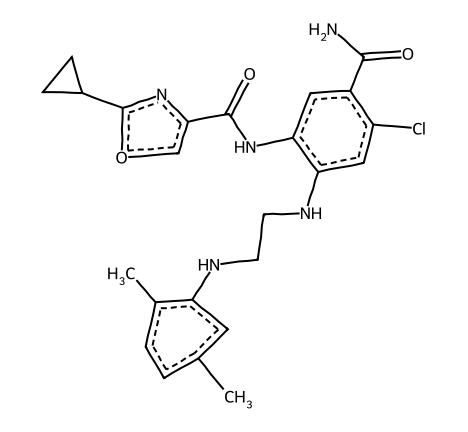 Cc1ccc(C)c(NCCNc2cc(Cl)c(C(N)=O)cc2NC(=O)c2coc(C3CC3)n2)c1